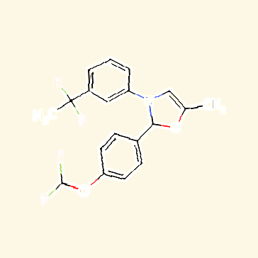 CC1=CN(c2cccc(C(C)(F)F)c2)C(c2ccc(OC(F)F)cc2)O1